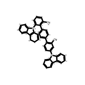 N#Cc1cc(-n2c3ccccc3c3ccccc32)ccc1-c1ccc(-c2c(C#N)cccc2-n2c3c(c4ccccc42)CCC=C3)cc1